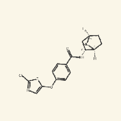 O=C(N[C@@H]1C[C@H]2CC[C@@H]1N2)c1ccc(Oc2cnc(Cl)o2)cc1